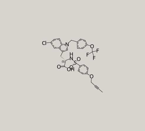 CC#CCOc1ccc(S(=O)(=O)N[C@@H](Cc2cn(Cc3ccc(OC(F)(F)F)cc3)c3ccc(Cl)cc23)C(=O)O)cc1